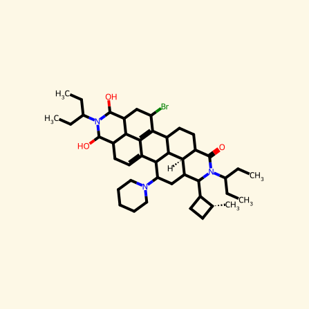 CCC(CC)N1C(=O)C2CCC3C4=C5C(=CCC6C5C(CC4Br)C(O)N(C(CC)CC)C6O)C4C3[C@@H]2C(CC4N2CCCCC2)C1C1CC[C@H]1C